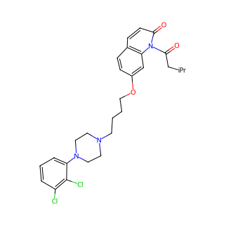 CC(C)CC(=O)n1c(=O)ccc2ccc(OCCCCN3CCN(c4cccc(Cl)c4Cl)CC3)cc21